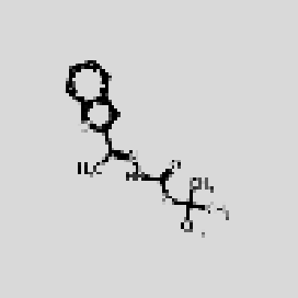 CC(=NNC(=O)OC(C)(C)C)c1cc2ccccc2o1